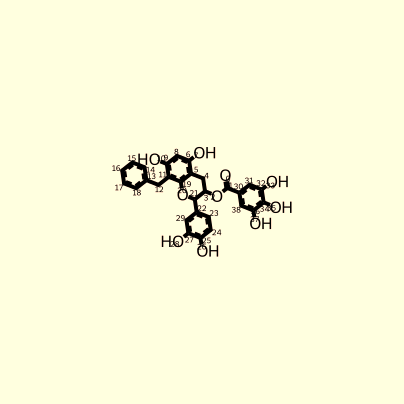 O=C(OC1Cc2c(O)cc(O)c(Cc3ccccc3)c2OC1c1ccc(O)c(O)c1)c1cc(O)c(O)c(O)c1